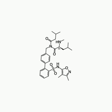 CN[C@@H](CC(C)C)C(=O)N(Cc1ccc(-c2ccccc2S(=O)(=O)Nc2onc(C)c2C)cc1)C(=O)CC(C)C